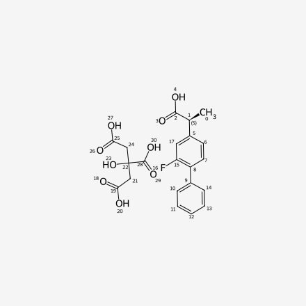 C[C@H](C(=O)O)c1ccc(-c2ccccc2)c(F)c1.O=C(O)CC(O)(CC(=O)O)C(=O)O